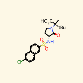 CC(C)(C)[C@](C)(C(=O)O)N1CC[C@@H](NS(=O)(=O)c2ccc3cc(Cl)ccc3c2)C1=O